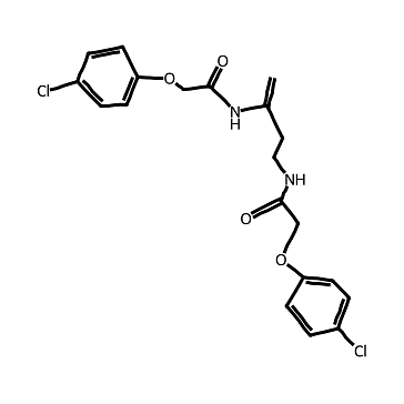 C=C(CCNC(=O)COc1ccc(Cl)cc1)NC(=O)COc1ccc(Cl)cc1